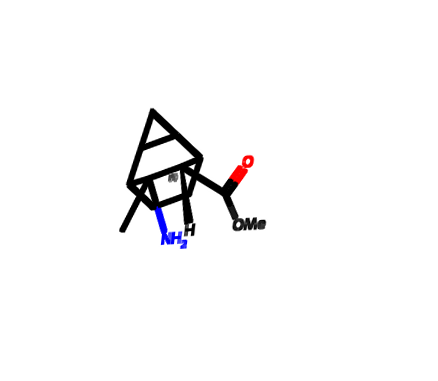 COC(=O)[C@H]1C2CCC(C3CC32)C1(C)N